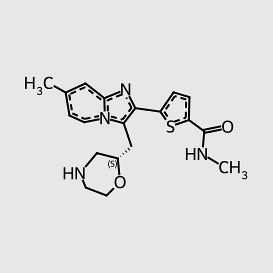 CNC(=O)c1ccc(-c2nc3cc(C)ccn3c2C[C@H]2CNCCO2)s1